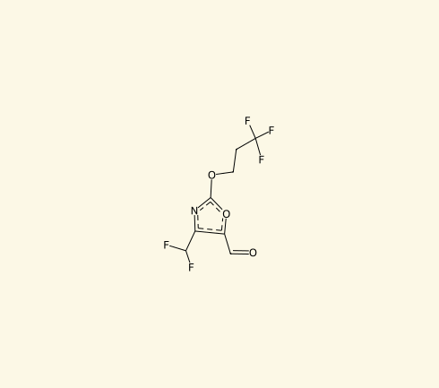 O=Cc1oc(OCCC(F)(F)F)nc1C(F)F